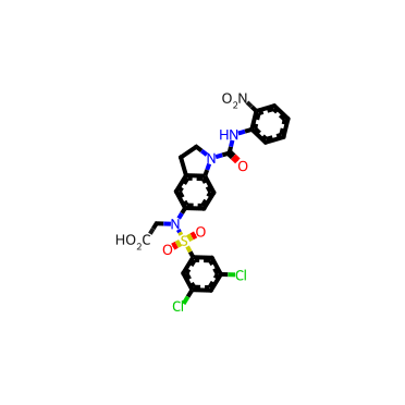 O=C(O)CN(c1ccc2c(c1)CCN2C(=O)Nc1ccccc1[N+](=O)[O-])S(=O)(=O)c1cc(Cl)cc(Cl)c1